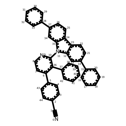 N#Cc1ccc(-c2ccnc(-n3c4cc(-c5ccccc5)ccc4c4ccc(-c5ccccc5)cc43)c2-c2ccccc2)cc1